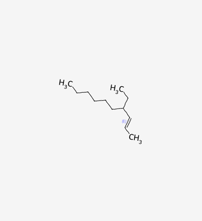 C/C=C/C(CC)CCCCCC